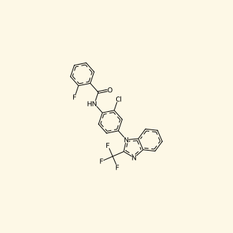 O=C(Nc1ccc(-n2c(C(F)(F)F)nc3ccccc32)cc1Cl)c1ccccc1F